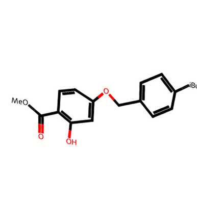 CCC(C)c1ccc(COc2ccc(C(=O)OC)c(O)c2)cc1